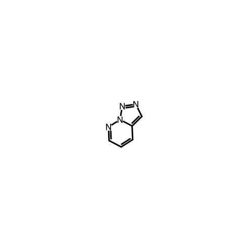 c1cnn2nncc2c1